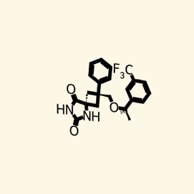 C[C@@H](OC[C@]1(c2ccccc2)C[C@]2(C1)NC(=O)NC2=O)c1cccc(C(F)(F)F)c1